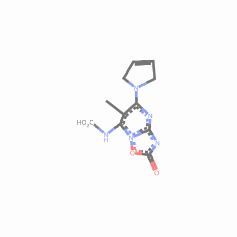 Cc1c(N2CC=CC2)nc2nc(=O)on2c1NC(=O)O